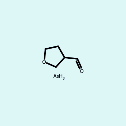 O=CC1CCOC1.[AsH3]